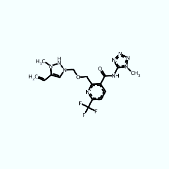 C=CC1=CN(COCc2nc(C(F)(F)F)ccc2C(=O)Nc2nnnn2C)NN1C